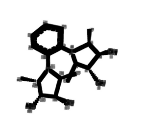 CC1[C@@H](O)[C@H](O)[C@H](C)P1c1ccccc1P1[C@@H](C)[C@@H](O)[C@H](O)[C@@H]1C